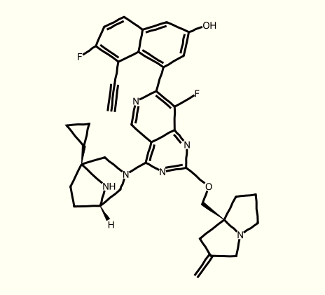 C#Cc1c(F)ccc2cc(O)cc(-c3ncc4c(N5C[C@@H]6CC[C@](C7CC7)(C5)N6)nc(OC[C@@]56CCCN5CC(=C)C6)nc4c3F)c12